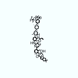 C=CC(=O)Nc1cc(Nc2nc(-c3ccnc(N4CCn5c(cc6c5CC(C)(C)C6)C4=O)c3CO)cn(C)c2=O)ccc1N1CCN(C2CCN(c3ccc(S(C)(=O)=O)c(OC(F)(F)F)c3)[C@@H](C)C2)C[C@@H]1C